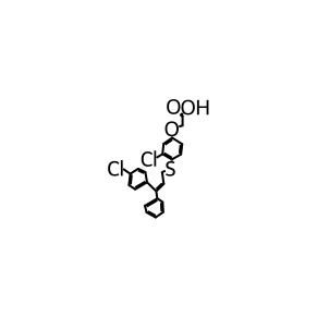 O=C(O)COc1ccc(SCC=C(c2ccccc2)c2ccc(Cl)cc2)c(Cl)c1